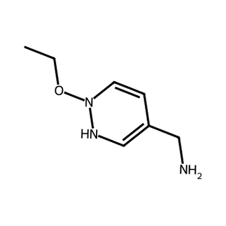 CCON1C=CC(CN)=CN1